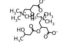 CC(O)CC(=O)OC(CC(=O)[O-])C[N+](C)(C)C.C[N+](C)(C)CC(O)CC(=O)[O-]